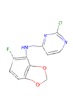 Fc1ccc2c(c1Nc1ccnc(Cl)n1)OCO2